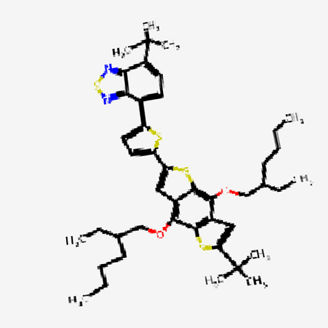 CCCCC(CC)COc1c2cc(C(C)(C)C)sc2c(OCC(CC)CCCC)c2cc(-c3ccc(-c4ccc(C(C)(C)C)c5nsnc45)s3)sc12